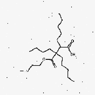 CCCCCC(C(=O)O)C(CCCC)(CCCCC)C(=O)OCCCC